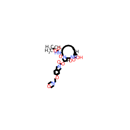 CC(C)(C)OC(=O)N[C@H]1CCCCC/C=C\[C@@H]2C[C@@]2(C(=O)O)NC(=O)[C@@H]2C[C@@H](OC(=O)N3Cc4ccc(OCCN5CCOCC5)cc4C3)CN2C1=O